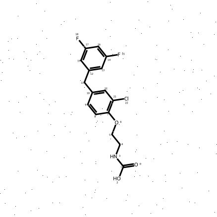 O=C(O)NCCOc1ccc(Cc2cc(F)cc(F)c2)cc1Cl